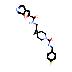 O=C(NCC1CC12CCN(C(=O)NCc1ccc(F)cc1)CC2)c1cc2ccncc2o1